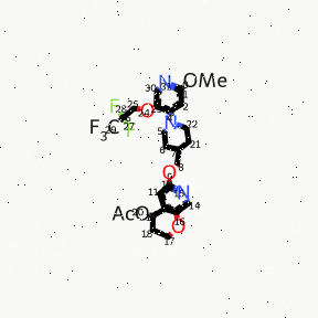 COc1cc(N2CCC(COc3cc4c(cn3)OCCC4OC(C)=O)CC2)c(OCC(F)(F)C(F)(F)F)cn1